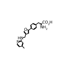 Cc1ccnc(NCc2coc(-c3ccc(C[C@H](N)C(=O)O)cc3)c2)c1